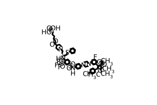 Cc1c(S(C)(=O)=O)c(-c2cc(F)cc(N3CCN(c4ccc(NS(=O)(=O)c5ccc(N[C@H](CCN6CCC(C(=O)OCCCCP(=O)(O)O)CC6)CSc6ccccc6)c(S(=O)(=O)C(F)(F)F)c5)cc4)CC3)c2)c(-c2ccc(Cl)cc2)n1C(C)C